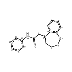 O=C(CN1CCCSc2ccccc21)Nc1ccccc1